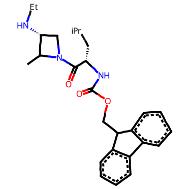 CCN[C@@H]1CN(C(=O)[C@H](CC(C)C)NC(=O)OCC2c3ccccc3-c3ccccc32)C1C